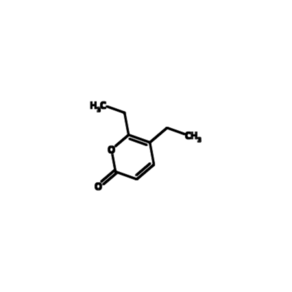 CCc1ccc(=O)oc1CC